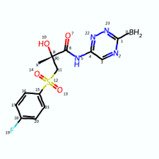 Bc1ncc(NC(=O)[C@@](C)(O)CS(=O)(=O)c2ccc(F)cc2)nn1